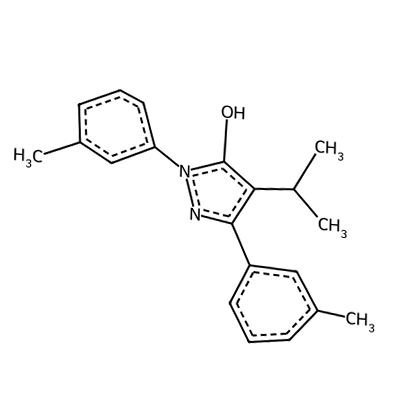 Cc1cccc(-c2nn(-c3cccc(C)c3)c(O)c2C(C)C)c1